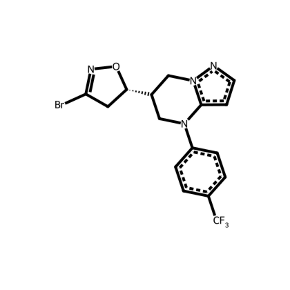 FC(F)(F)c1ccc(N2CC([C@@H]3CC(Br)=NO3)Cn3nccc32)cc1